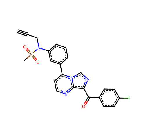 C#CCN(c1cccc(-c2ccnc3c(C(=O)c4ccc(F)cc4)ncn23)c1)S(C)(=O)=O